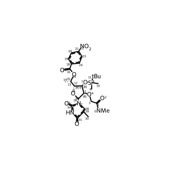 CNC(=O)CO[C@@H]1[C@H](O[Si](C)(C)C(C)(C)C)[C@@H]([C@H](C)OC(=O)c2ccc([N+](=O)[O-])cc2)O[C@H]1n1cc(C)c(=O)[nH]c1=O